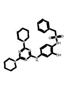 O=S(=O)(Cc1ccccc1)Nc1ccc(Nc2nc(N3CCCCC3)nc(N3CCCCC3)n2)cc1O